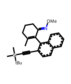 CO/N=C1\CCCC(C)=C1c1c(C#C[Si](C)(C)C(C)(C)C)ccc2ccccc12